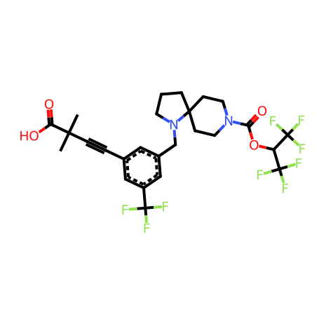 CC(C)(C#Cc1cc(CN2CCCC23CCN(C(=O)OC(C(F)(F)F)C(F)(F)F)CC3)cc(C(F)(F)F)c1)C(=O)O